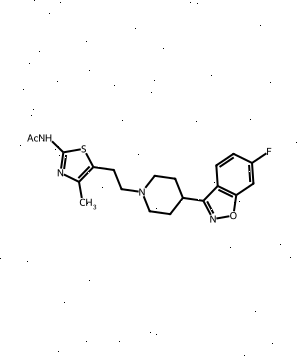 CC(=O)Nc1nc(C)c(CCN2CCC(c3noc4cc(F)ccc34)CC2)s1